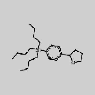 CCC[CH2][Sn]([CH2]CCC)([CH2]CCC)[c]1ccc(C2CCCO2)cc1